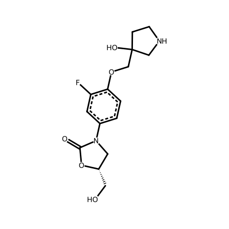 O=C1O[C@@H](CO)CN1c1ccc(OCC2(O)CCNC2)c(F)c1